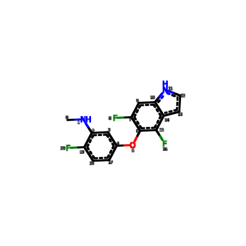 CNc1cc(Oc2c(F)cc3[nH]ccc3c2F)ccc1F